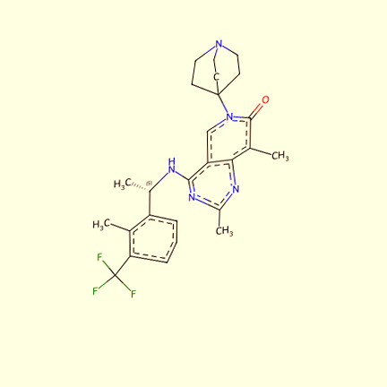 Cc1nc(N[C@@H](C)c2cccc(C(F)(F)F)c2C)c2cn(C34CCN(CC3)CC4)c(=O)c(C)c2n1